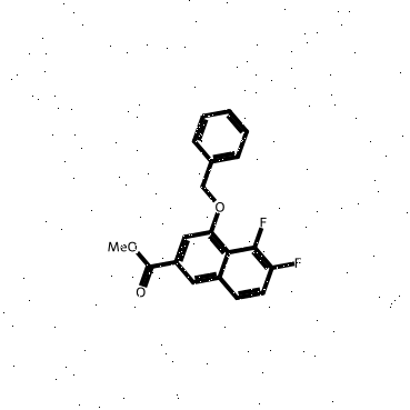 COC(=O)c1cc(OCc2ccccc2)c2c(F)c(F)ccc2c1